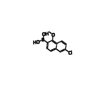 COc1c(B(O)O)ccc2cc(Cl)ccc12